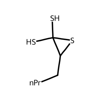 CCCCC1SC1(S)S